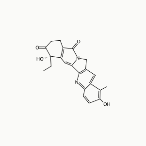 CC[C@@]1(O)C(=O)CCc2c1cc1n(c2=O)Cc2cc3c(C)c(O)ccc3nc2-1